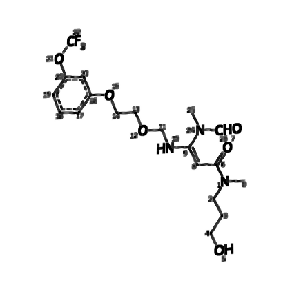 CN(CCCO)C(=O)/C=C(/NCOCCOc1cccc(OC(F)(F)F)c1)N(C)C=O